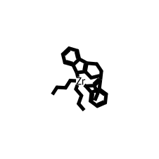 CCC[CH2][Zr]1([CH2]CCC)[CH]2C(CC)=C(CCC3=C(CC)[CH]1c1ccccc13)c1ccccc12